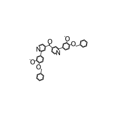 COc1cc(-c2cc(C(=O)c3ccnc(-c4ccc(OCc5ccccc5)c(OC)c4)c3)ccn2)ccc1OCc1ccccc1